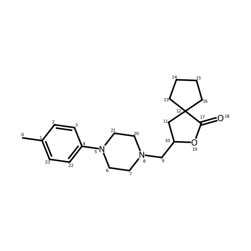 Cc1ccc(N2CCN(CC3CC4(CCCC4)C(=O)O3)CC2)cc1